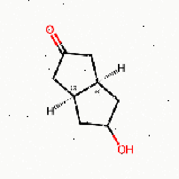 O=C1C[C@@H]2CC(O)C[C@@H]2C1